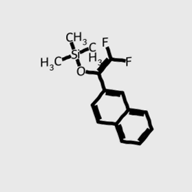 C[Si](C)(C)OC(=C(F)F)c1ccc2ccccc2c1